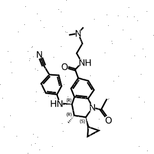 CC(=O)N1c2ccc(C(=O)NCCN(C)C)cc2[C@H](Nc2ccc(C#N)cc2)[C@@H](C)[C@@H]1C1CC1